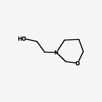 OCCN1CCCOC1